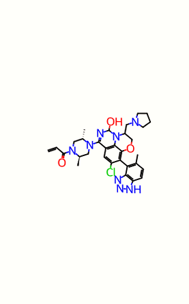 C=CC(=O)N1C[C@H](C)N(C2=NC(O)N3c4c2cc(Cl)c(-c2c(C)ccc5[nH]nnc25)c4OCC3CN2CCCC2)C[C@H]1C